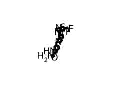 NC(=O)c1cc2ccc(CN3CCC4(CCN(c5ncnc6sc(CC(F)F)cc56)C4)C3)cc2[nH]1